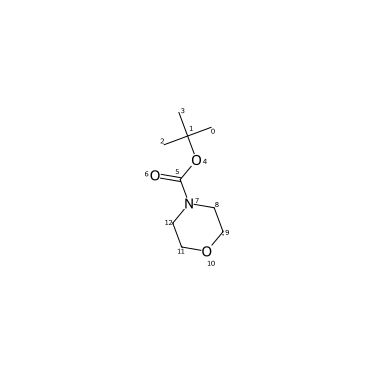 CC(C)(C)OC(=O)N1C[CH]OCC1